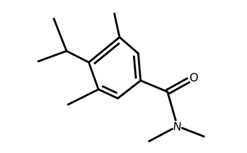 Cc1cc(C(=O)N(C)C)cc(C)c1C(C)C